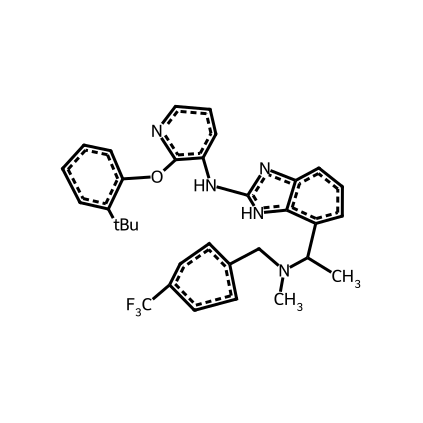 CC(c1cccc2nc(Nc3cccnc3Oc3ccccc3C(C)(C)C)[nH]c12)N(C)Cc1ccc(C(F)(F)F)cc1